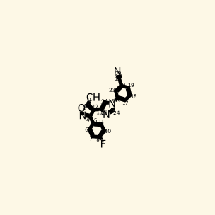 Cc1onc(-c2ccc(F)cc2)c1-c1cn(-c2cccc(C#N)c2)cn1